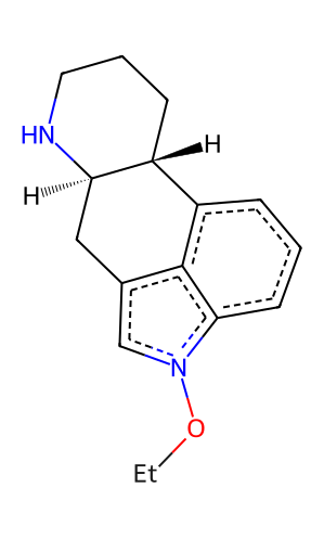 CCOn1cc2c3c(cccc31)[C@H]1CCCN[C@@H]1C2